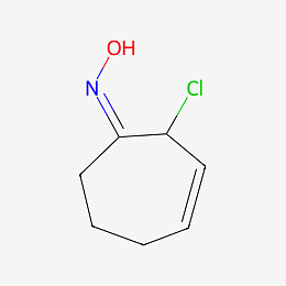 ON=C1CCCC=CC1Cl